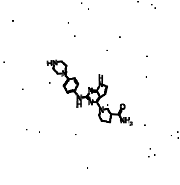 NC(=O)C1CCCN(c2nc(Nc3ccc(N4CCNCC4)cc3)nc3[nH]ccc23)C1